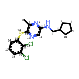 Cc1nc(NCC2CCCC2)cnc1Sc1cccc(Cl)c1Cl